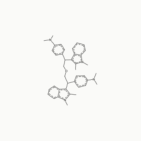 Cc1c(C(COCC(c2ccc(N(C)C)cc2)c2c(C)n(C)c3ccccc23)c2ccc(N(C)C)cc2)c2ccccc2n1C